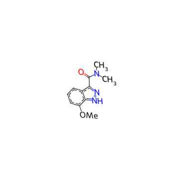 COc1cccc2c(C(=O)N(C)C)n[nH]c12